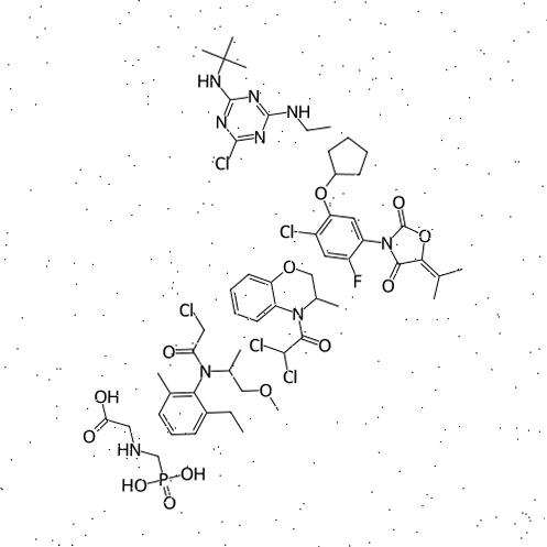 CC(C)=C1OC(=O)N(c2cc(OC3CCCC3)c(Cl)cc2F)C1=O.CC1COc2ccccc2N1C(=O)C(Cl)Cl.CCNc1nc(Cl)nc(NC(C)(C)C)n1.CCc1cccc(C)c1N(C(=O)CCl)C(C)COC.O=C(O)CNCP(=O)(O)O